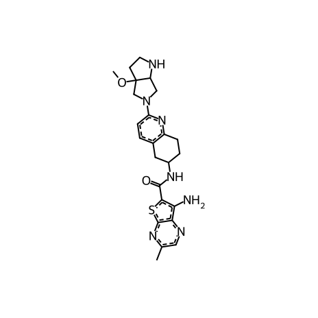 COC12CCNC1CN(c1ccc3c(n1)CCC(NC(=O)c1sc4nc(C)cnc4c1N)C3)C2